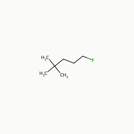 CC(C)(C)CCCF